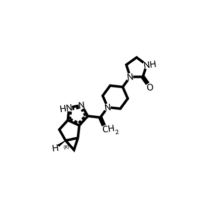 C=C(c1n[nH]c2c1C1C[C@@H]1C2)N1CCC(N2CCNC2=O)CC1